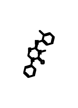 Cc1ccccc1N=C1SCN(c2ccccc2)C(=O)N1C